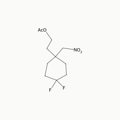 CC(=O)OCCC1(C[N+](=O)[O-])CCC(F)(F)CC1